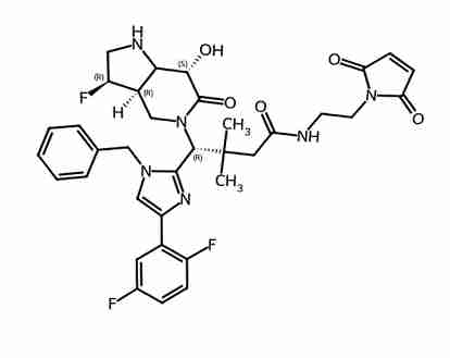 CC(C)(CC(=O)NCCN1C(=O)C=CC1=O)[C@H](c1nc(-c2cc(F)ccc2F)cn1Cc1ccccc1)N1C[C@@H]2C(NC[C@@H]2F)[C@H](O)C1=O